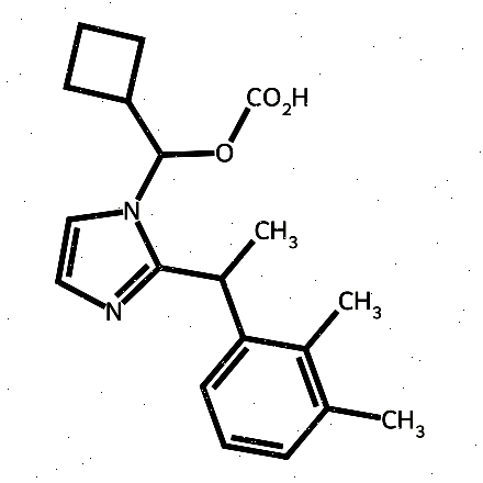 Cc1cccc(C(C)c2nccn2C(OC(=O)O)C2CCC2)c1C